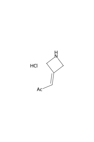 CC(=O)C=C1CNC1.Cl